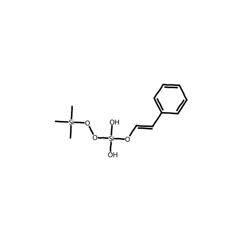 C[Si](C)(C)OO[Si](O)(O)OC=Cc1ccccc1